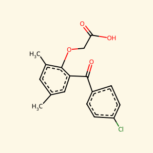 Cc1cc(C)c(OCC(=O)O)c(C(=O)c2ccc(Cl)cc2)c1